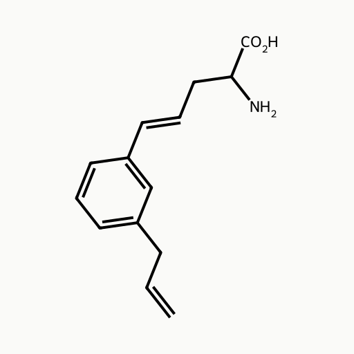 C=CCc1cccc(C=CCC(N)C(=O)O)c1